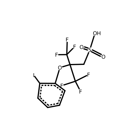 O=S(=O)(O)CC(Oc1ccccc1I)(C(F)(F)F)C(F)(F)F